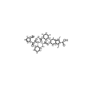 Cc1c(C(=O)O)n(C)c2ccc(SN(CCc3ccccc3)c3ccccc3N3CCN(C(=O)c4sccc4Br)CC3)cc12